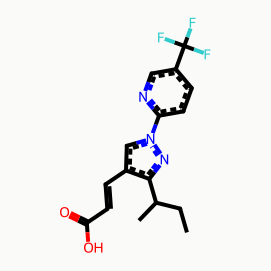 CCC(C)c1nn(-c2ccc(C(F)(F)F)cn2)cc1/C=C/C(=O)O